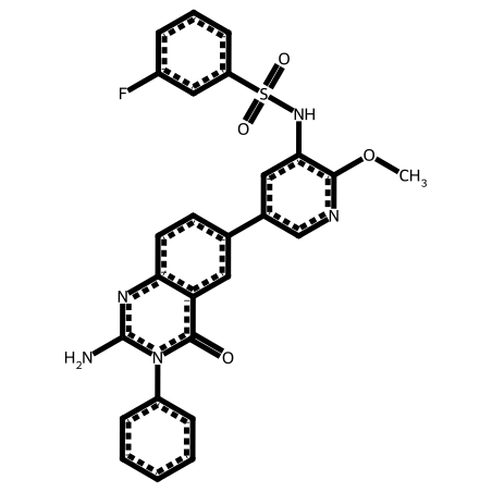 COc1ncc(-c2ccc3nc(N)n(-c4ccccc4)c(=O)c3c2)cc1NS(=O)(=O)c1cccc(F)c1